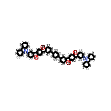 c1ccc2c(c1)c1ccccc1n2-c1ccc2oc3cc4c(cc3c2c1)oc1ccc(-c2ccc(-c3ccc5oc6cc7c(cc6c5c3)oc3ccc(-n5c6ccccc6c6ccccc65)cc37)cc2)cc14